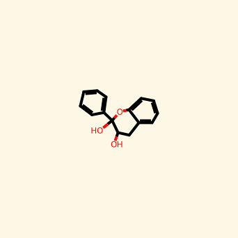 OC1Cc2ccccc2OC1(O)c1ccccc1